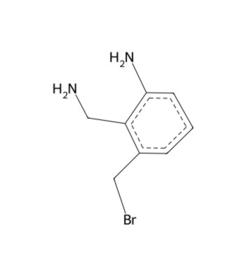 NCc1c(N)cccc1CBr